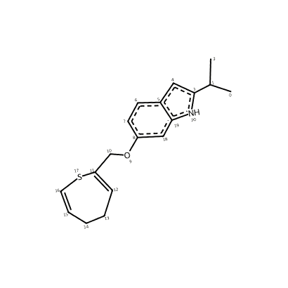 CC(C)c1cc2ccc(OCC3=CCCC=CS3)cc2[nH]1